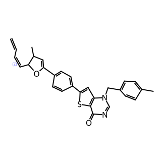 C=C/C=C\C1OC(c2ccc(-c3cc4c(s3)c(=O)ncn4Cc3ccc(C)cc3)cc2)=CC1C